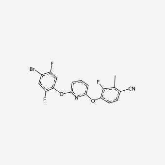 Cc1c(C#N)ccc(Oc2cccc(Oc3cc(F)c(Br)cc3F)n2)c1F